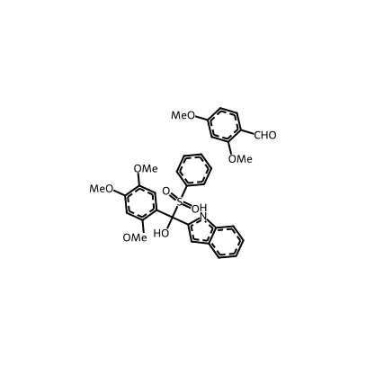 COc1cc(OC)c(C(O)(c2cc3ccccc3[nH]2)S(=O)(=O)c2ccccc2)cc1OC.COc1ccc(C=O)c(OC)c1